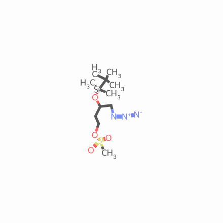 CC(C)(C)[Si](C)(C)OC(CCOS(C)(=O)=O)CN=[N+]=[N-]